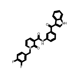 O=C(Nc1cccc(C(=O)c2c[nH]c3ccccc23)c1)c1cccn(Cc2ccc(F)c(F)c2)c1=O